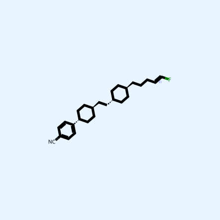 N#Cc1ccc([C@H]2CC[C@H](CC[C@H]3CC[C@H](CCC/C=C/F)CC3)CC2)cc1